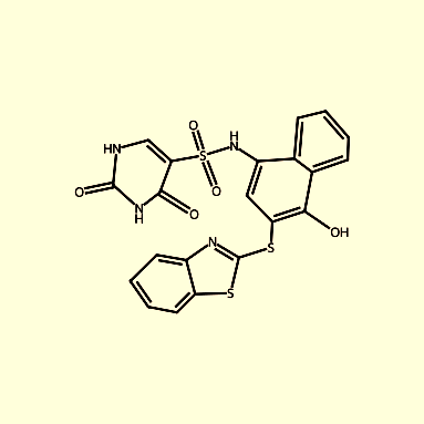 O=c1[nH]cc(S(=O)(=O)Nc2cc(Sc3nc4ccccc4s3)c(O)c3ccccc23)c(=O)[nH]1